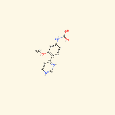 COc1cc(NC(=O)O)ccc1-c1ccncn1